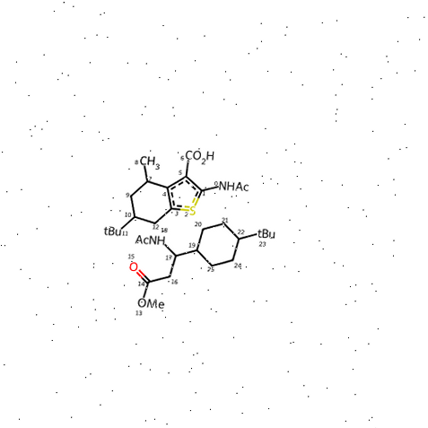 CC(=O)Nc1sc2c(c1C(=O)O)C(C)CC(C(C)(C)C)C2.COC(=O)CC(NC(C)=O)C1CCC(C(C)(C)C)CC1